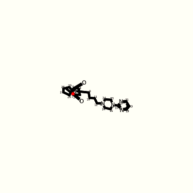 O=C1C2CCC(C(=O)N1CCCCN1CCN(c3ncccn3)CC1)C21CCCC1